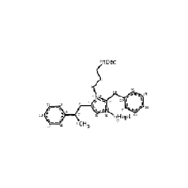 CCCCCCCCCCCCC[n+]1c(CC(C)c2ccccc2)cn(CCCCCCC)c1Cc1ccccc1